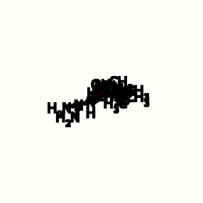 COC(=O)[C@@H](NC(=O)CC[C@@H](C)[C@H]1CC[C@H]2[C@@H]3[C@H](O)C[C@@H]4C[C@@H](NCCCN(CCCN)CCCN)CC[C@]4(C)[C@H]3C[C@H](O)[C@]12C)C(C)C